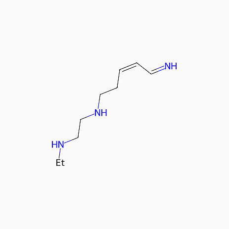 CCNCCNCC/C=C\C=N